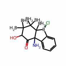 BC1(B)C(O)C(=O)C2(N)c3ccccc3B(Cl)C2(B)C1(B)B